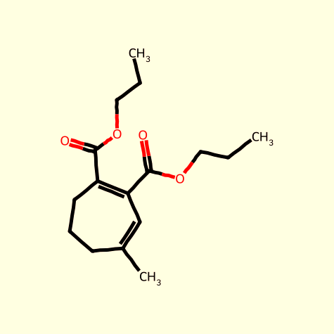 CCCOC(=O)C1=C(C(=O)OCCC)CCCC(C)=C1